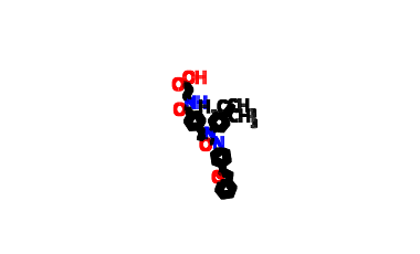 CC(C)(C)C1CCC(N2C(=Nc3ccc(-c4cc5ccccc5o4)cc3)OCC2c2ccc(C(=O)NCCC(=O)O)cc2)CC1